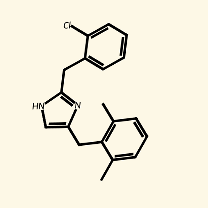 Cc1cccc(C)c1Cc1c[nH]c(Cc2ccccc2Cl)n1